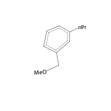 [CH2]OCc1cccc(CCC)c1